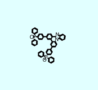 O=P(c1ccccc1)(c1ccccc1)c1ccc(-c2ccc3c(c2)c2cc(-c4ccc(P(=O)(c5ccccc5)c5ccccc5)cc4)ccc2n2c4ccccc4nc32)cc1